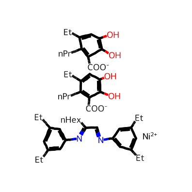 CCCCCCC(C=Nc1cc(CC)cc(CC)c1)=Nc1cc(CC)cc(CC)c1.CCCc1c(CC)cc(O)c(O)c1C(=O)[O-].CCCc1c(CC)cc(O)c(O)c1C(=O)[O-].[Ni+2]